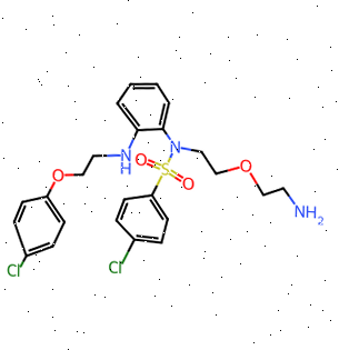 NCCOCCN(c1ccccc1NCCOc1ccc(Cl)cc1)S(=O)(=O)c1ccc(Cl)cc1